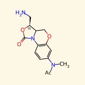 CC(=O)N(C)c1ccc2c(c1)OCC1[C@H](CN)OC(=O)N21